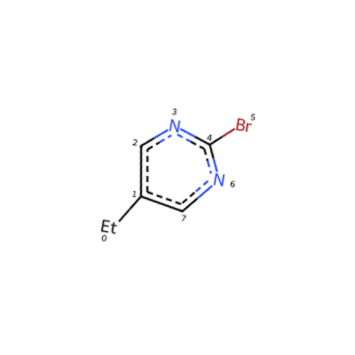 CCc1cnc(Br)nc1